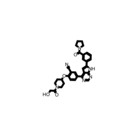 N#Cc1cc(-c2ncnc3[nH]c(-c4cccc(C(=O)N5CCCC5)c4)cc23)ccc1OC1CCN(C(=O)CO)CC1